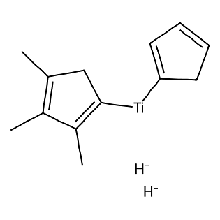 CC1=C(C)C(C)=[C]([Ti][C]2=CC=CC2)C1.[H-].[H-]